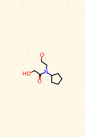 [O]CCN(C(=O)CO)C1CCCC1